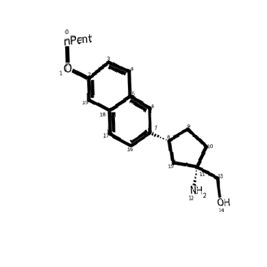 CCCCCOc1ccc2cc([C@@H]3CC[C@@](N)(CO)C3)ccc2c1